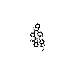 CCN1Cc2ccc(Nc3nccc(-c4c(-c5cccc(NC(=O)c6ccccc6Cl)c5)nc5ccccn45)n3)cc2C1